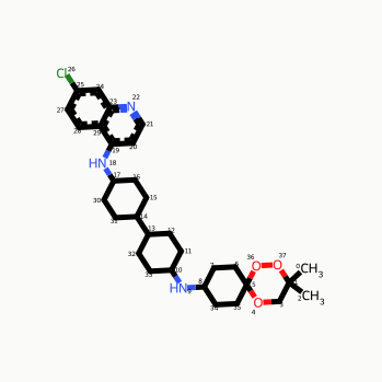 CC1(C)COC2(CCC(NC3CCC(C4CCC(Nc5ccnc6cc(Cl)ccc56)CC4)CC3)CC2)OO1